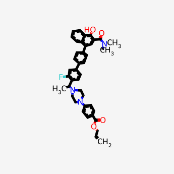 C=CCOC(=O)c1ccc(N2CCN(C(C)c3ccc(-c4ccc(-c5cc(C(=O)N(C)C)c(O)c6ccccc56)cc4)cc3F)CC2)cc1